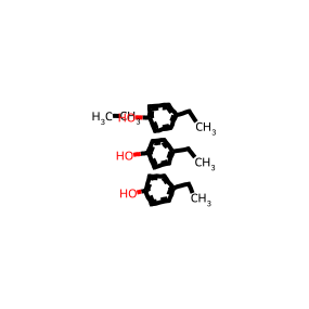 CC.CCc1ccc(O)cc1.CCc1ccc(O)cc1.CCc1ccc(O)cc1